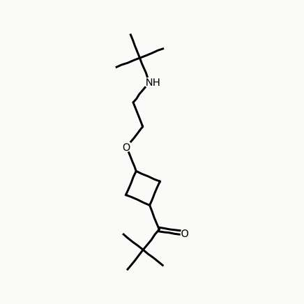 CC(C)(C)NCCOC1CC(C(=O)C(C)(C)C)C1